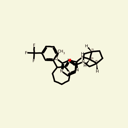 COc1cc(N2C[C@H]3CC[C@@H](C2)[C@H]3Nc2nc3n(n2)CCCCC3c2cccc(C(F)(F)F)c2)ccn1